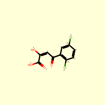 O=C(O)/C(O)=C\C(=O)c1cc(Cl)ccc1Cl